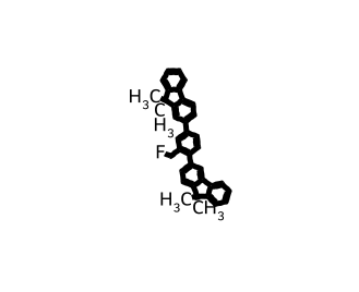 CC1(C)c2ccccc2-c2cc(-c3ccc(-c4ccc5c(c4)C(C)(C)c4ccccc4-5)cc3CF)ccc21